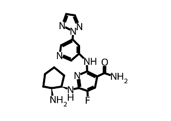 NC(=O)c1cc(F)c(N[C@@H]2CCCC[C@@H]2N)nc1Nc1cncc(-n2nccn2)c1